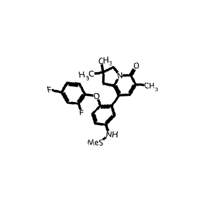 CSNc1ccc(Oc2ccc(F)cc2F)c(-c2cc(C)c(=O)n3c2CC(C)(C)C3)c1